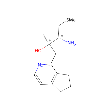 CSC[C@H](N)[C@](C)(O)Cc1nccc2c1CCC2